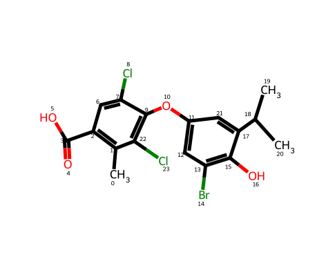 Cc1c(C(=O)O)cc(Cl)c(Oc2cc(Br)c(O)c(C(C)C)c2)c1Cl